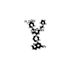 CC(C)c1cc(N2CCCN(C(CC(=O)NCCN3CCCC3)c3csc(N4CCC(C)(O)CC4)n3)CC2)c2ncccc2c1